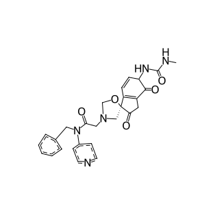 CNC(=O)NC1C=CC2=C(CC(=O)[C@]23CN(CC(=O)N(Cc2ccccc2)c2ccncc2)CO3)C1=O